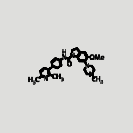 COc1cc2c(cc1N1CCN(C)CC1)N(C(=O)Nc1ccc(-c3ccc(C)nc3C)cc1)CC2